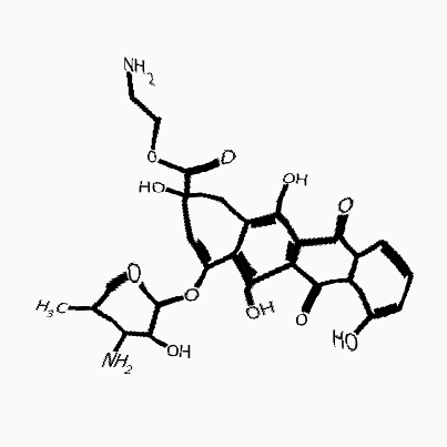 CC1COC(OC2=CC(O)(C(=O)OCCN)Cc3c(O)c4c(c(O)c32)C(=O)C2C(O)=CC=CC2C4=O)C(O)C1N